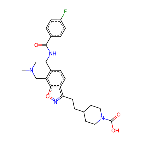 CN(C)Cc1c(CNC(=O)c2ccc(F)cc2)ccc2c(CCC3CCN(C(=O)O)CC3)noc12